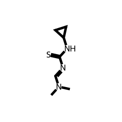 CN(C)/C=N/C(=S)NC1CC1